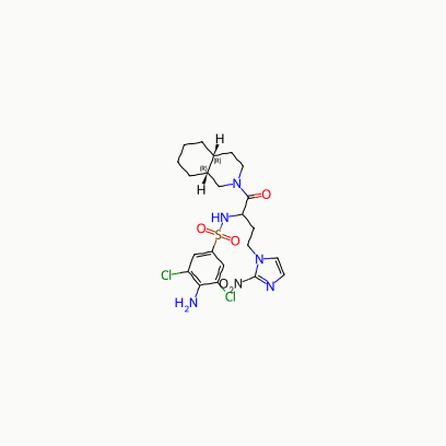 Nc1c(Cl)cc(S(=O)(=O)NC(CCn2ccnc2[N+](=O)[O-])C(=O)N2CC[C@H]3CCCC[C@H]3C2)cc1Cl